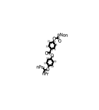 CCCCCCCCCC(=O)Oc1ccc(C(=O)Oc2ccc(OC(CCC)CCC)cc2)cc1